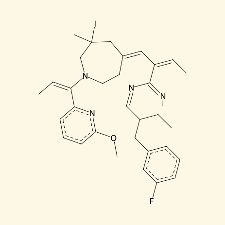 CC=C(/C=C1\CCN(C(=CC)c2cccc(OC)n2)CC(C)(I)C1)C(/N=C\C(CC)Cc1cccc(F)c1)=N/C